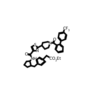 CCOC(=O)Cc1ccc(CC2CCCC2NC(=O)c2csc(C3CCN(C(=O)c4ccccc4-c4ccc(C(F)(F)F)cc4)CC3)n2)cc1